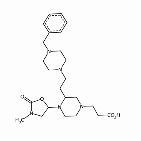 CN1CC(N2CCN(CCC(=O)O)CC2CCN2CCN(Cc3ccccc3)CC2)OC1=O